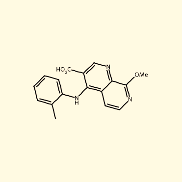 COc1nccc2c(Nc3ccccc3C)c(C(=O)O)cnc12